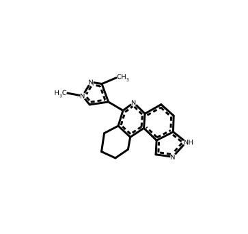 Cc1nn(C)cc1-c1nc2ccc3[nH]ncc3c2c2c1CCCC2